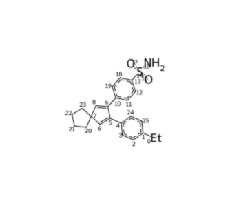 CCc1ccc(C2=CC3(C=C2c2ccc(S(N)(=O)=O)cc2)CCCC3)cc1